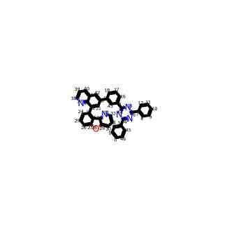 c1ccc(-c2nc(-c3ccccc3)nc(-c3cccc(-c4cc(-c5cccc6oc7cccnc7c56)c5ncccc5c4)c3)n2)cc1